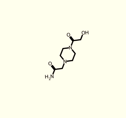 NC(=O)CN1CCN(C(=O)CO)CC1